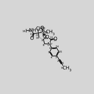 CC#Cc1ccc(N2C[C@H](C[C@](C)(C(=O)NI)S(C)(=O)=O)OC2=O)cc1